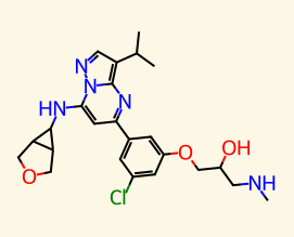 CNCC(O)COc1cc(Cl)cc(-c2cc(NC3C4COCC43)n3ncc(C(C)C)c3n2)c1